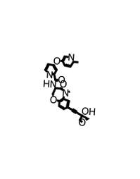 Cc1ccc(Oc2ccnc(C(=O)N[C@H]3COc4ccc(C#CC5(O)COC5)cc4N(C)C3=O)c2)cn1